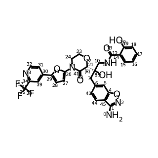 Nc1noc2cc(CC(O)(CNC(=O)c3ccccc3O)[C@H]3OCCN(c4ccc(-c5ccnc(C(F)(F)F)c5)o4)C3=O)ccc12